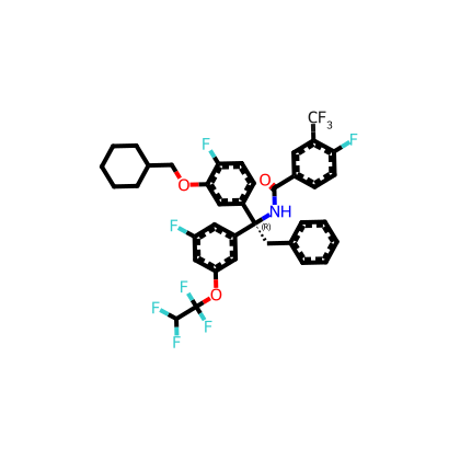 O=C(N[C@@](Cc1ccccc1)(c1cc(F)cc(OC(F)(F)C(F)F)c1)c1ccc(F)c(OCC2CCCCC2)c1)c1ccc(F)c(C(F)(F)F)c1